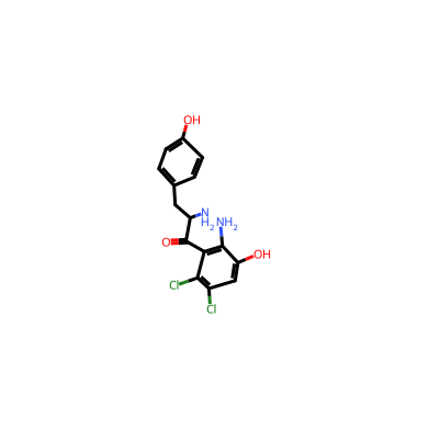 Nc1c(O)cc(Cl)c(Cl)c1C(=O)C(N)Cc1ccc(O)cc1